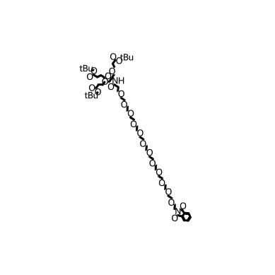 CC(C)(C)OC(=O)CCCOC(COCCC(=O)OC(C)(C)C)(COCCC(=O)OC(C)(C)C)NC(=O)CCOCCOCCOCCOCCOCCOCCOCCOCCOCCOCCOCCOCCN1C(=O)c2ccccc2C1=O